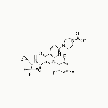 COC(=O)N1CCN(c2ccc3c(=O)c(C(=O)N[C@@H](C4CC4)C(F)(F)F)cn(-c4c(F)cc(F)cc4F)c3n2)CC1